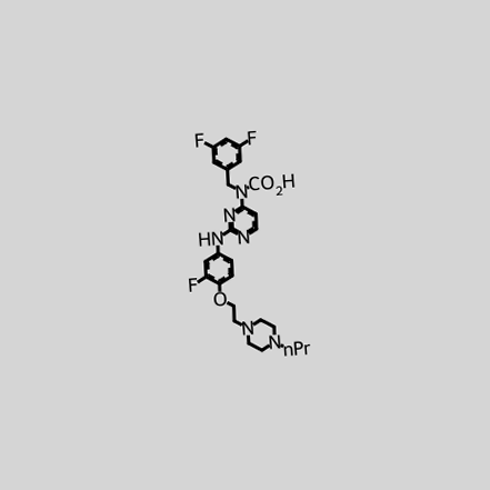 CCCN1CCN(CCOc2ccc(Nc3nccc(N(Cc4cc(F)cc(F)c4)C(=O)O)n3)cc2F)CC1